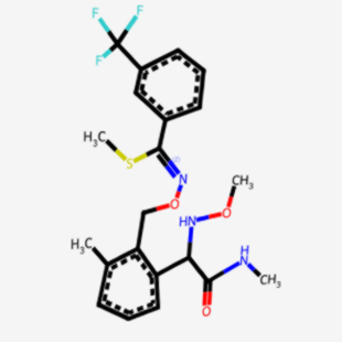 CNC(=O)C(NOC)c1cccc(C)c1CO/N=C(\SC)c1cccc(C(F)(F)F)c1